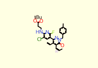 C=Cc1c(-c2cc(Cl)c(NCCC(=O)OC(C)(C)C)nc2F)nn(Cc2ccc(C)cc2)c(=O)c1/C=C\C